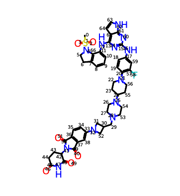 CS(=O)(=O)N1CCc2cccc(Nc3nc(Nc4ccc(N5CCC(N6CCN(CC7CN(c8ccc9c(c8)C(=O)N(C8CCC(=O)NC8=O)C9=O)C7)CC6)CC5)c(F)c4)nc4[nH]ccc34)c21